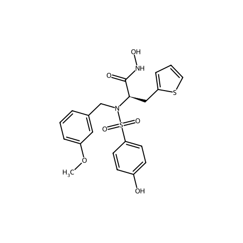 COc1cccc(CN([C@H](Cc2cccs2)C(=O)NO)S(=O)(=O)c2ccc(O)cc2)c1